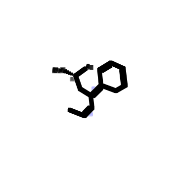 C/C=C\C(C[C@H](NC)C(C)=O)=C1\C=CC=CC1